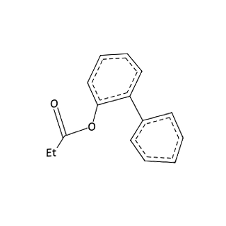 CCC(=O)Oc1ccccc1-c1ccccc1